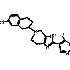 Clc1ccc2c(c1)CC(N1CCc3nc(-c4cnccc4Cl)[nH]c3C1)CC2